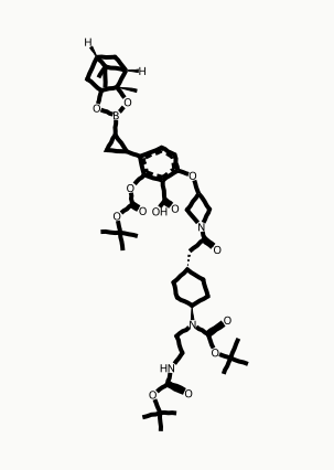 CC(C)(C)OC(=O)NCCN(C(=O)OC(C)(C)C)[C@H]1CC[C@H](CC(=O)N2CC(Oc3ccc(C4CC4B4OC5C[C@@H]6C[C@@H](C6(C)C)[C@]5(C)O4)c(OC(=O)OC(C)(C)C)c3C(=O)O)C2)CC1